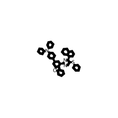 c1ccc(Sc2cnc(-c3cc(-c4ccc(N(c5ccccc5)c5ccccc5)cc4)cc4oc5ccccc5c34)nc2-c2cccc3ccccc23)cc1